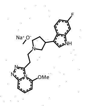 COc1cccc2nnc(CCN3CCC(c4c[nH]c5cc(F)ccc45)C3)n12.C[O-].[Na+]